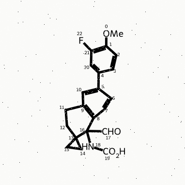 COc1ccc(-c2ccc3c(c2)CCC2(CC2)C3(C=O)NC(=O)O)cc1F